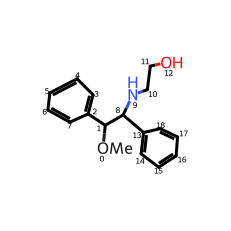 COC(c1ccccc1)C(NCCO)c1ccccc1